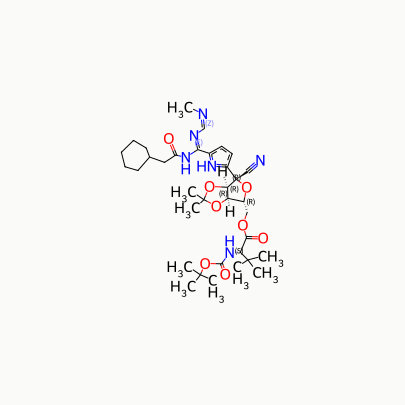 C/N=C\N=C(\NC(=O)CC1CCCCC1)c1ccc([C@]2(C#N)O[C@H](COC(=O)[C@@H](NC(=O)OC(C)(C)C)C(C)(C)C)[C@H]3OC(C)(C)O[C@H]32)[nH]1